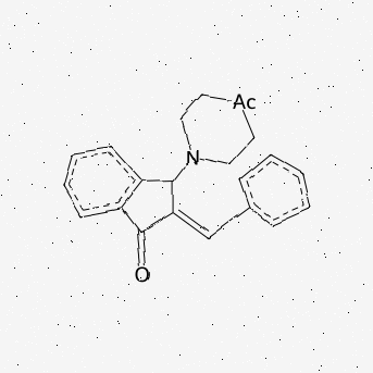 O=C1/C(=C/c2ccccc2)C(N2C[CH2][Ac][CH2]C2)c2ccccc21